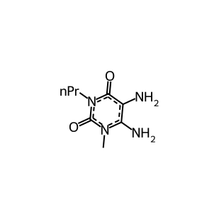 CCCn1c(=O)c(N)c(N)n(C)c1=O